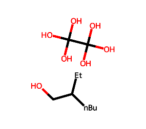 CCCCC(CC)CO.OC(O)(O)C(O)(O)O